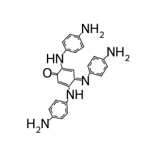 Nc1ccc(/N=C2\C=C(Nc3ccc(N)cc3)C(=O)C=C2Nc2ccc(N)cc2)cc1